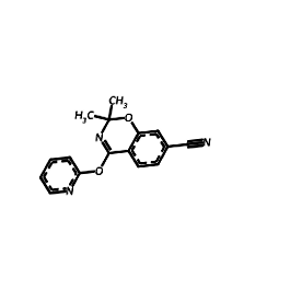 CC1(C)N=C(Oc2ccccn2)c2ccc(C#N)cc2O1